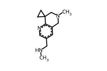 CNCc1cnc2c(c1)CN(C)CC21CC1